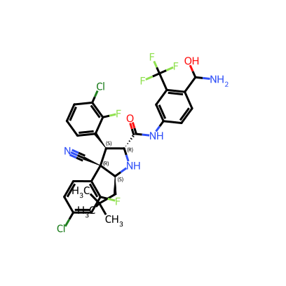 CC(C)(C)C[C@@H]1N[C@@H](C(=O)Nc2ccc(C(N)O)c(C(F)(F)F)c2)[C@H](c2cccc(Cl)c2F)[C@@]1(C#N)c1ccc(Cl)cc1F